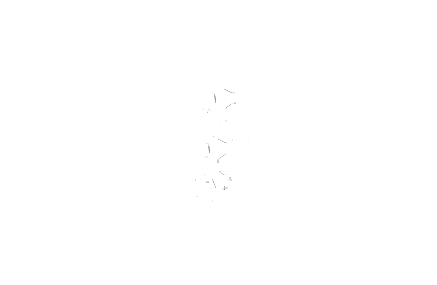 CCc1cccc(COc2ccc(-c3n[nH]c(CI)c3C)cc2C)c1[N+](=O)[O-]